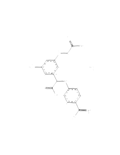 Cc1cc(OCC(N)=O)cc(C(Nc2ccc(C(=N)N)cc2)C(=O)O)c1.Cl